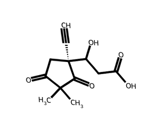 C#C[C@@]1(C(O)CC(=O)O)CC(=O)C(C)(C)C1=O